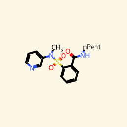 CCCCCNC(=O)c1ccccc1S(=O)(=O)N(C)c1cccnc1